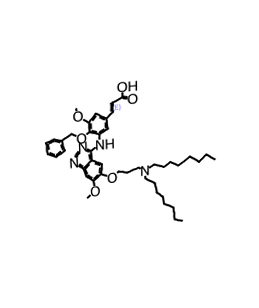 CCCCCCCCN(CCCCCCCC)CCCOc1cc2c(Nc3cc(/C=C/C(=O)O)cc(OC)c3OCc3ccccc3)ncnc2cc1OC